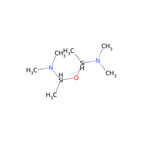 CN(C)[SiH](C)O[SiH](C)N(C)C